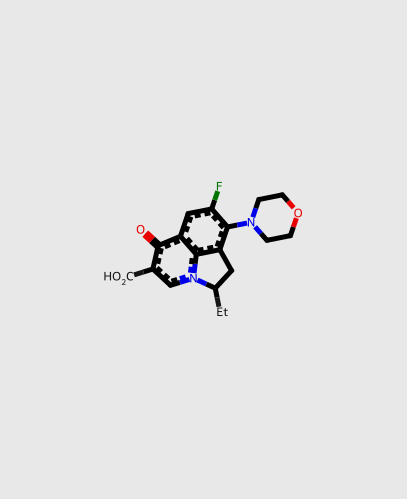 CCC1Cc2c(N3CCOCC3)c(F)cc3c(=O)c(C(=O)O)cn1c23